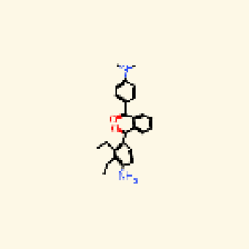 CCc1c(N)ccc(C(=O)c2ccccc2C(=O)c2ccc(N(C)C)cc2)c1CC